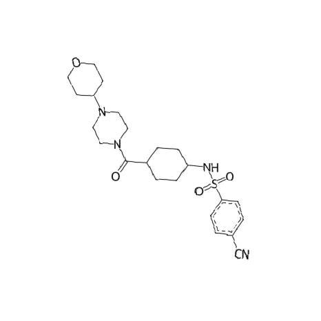 N#Cc1ccc(S(=O)(=O)NC2CCC(C(=O)N3CCN(C4CCOCC4)CC3)CC2)cc1